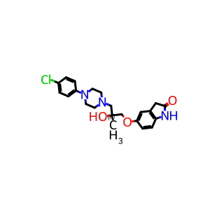 C[C@](O)(COc1ccc2c(c1)CC(=O)N2)CN1CCN(c2ccc(Cl)cc2)CC1